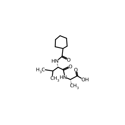 CC(C)[C@H](NC(=O)C1CCCCC1)C(=O)N[C@@H](C)C(=O)O